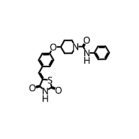 O=C1NC(=O)/C(=C/c2ccc(OC3CCN(C(=O)Nc4ccccc4)CC3)cc2)S1